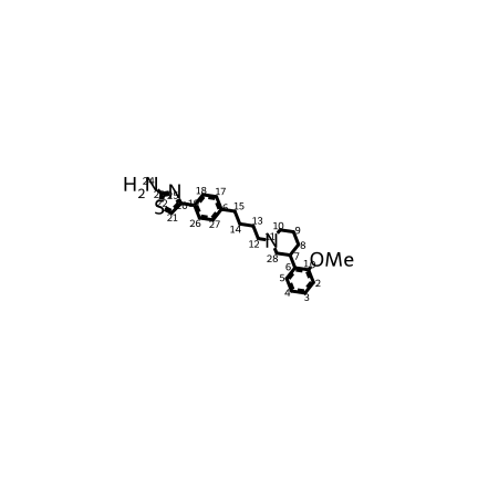 COc1ccccc1C1CCCN(CCCCc2ccc(-c3csc(N)n3)cc2)C1